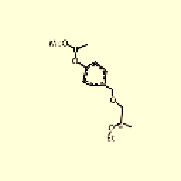 CCO[C@H](C)COCc1ccc(OB(C)OC)cc1